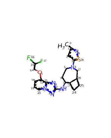 Cc1cc(N2CCC(Nc3nc4c(OCC(F)F)cccn4n3)C3CCC3C2)sn1